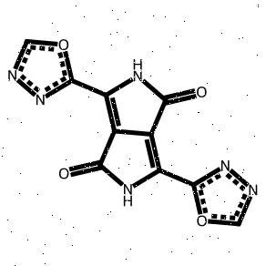 O=C1NC(c2nnco2)=C2C(=O)NC(c3nnco3)=C12